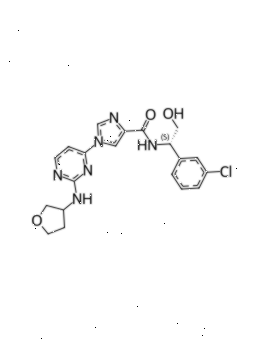 O=C(N[C@H](CO)c1cccc(Cl)c1)c1cn(-c2ccnc(NC3CCOC3)n2)cn1